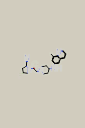 Cc1cc(NC2CCN(CC(=O)N3C[C@@H](F)CC3C#N)CC2)cc2cccnc12